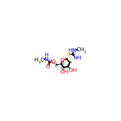 CNC(=N)S[C@@H]1C[C@@H](O)[C@H](O)[C@@H](COC(=O)NC)O1